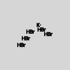 Br.Br.Br.Br.Br.[K]